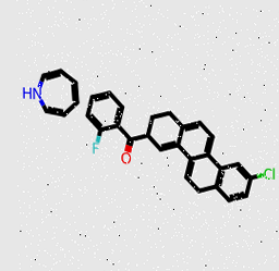 C1=CC=CNC=C1.O=C(c1ccccc1F)C1C=c2c(ccc3c2=CCc2ccc(Cl)cc2-3)CC1